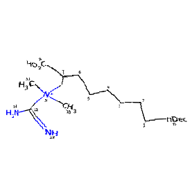 CCCCCCCCCCCCCCCCC(C(=O)O)[N+](C)(C)C(=N)N